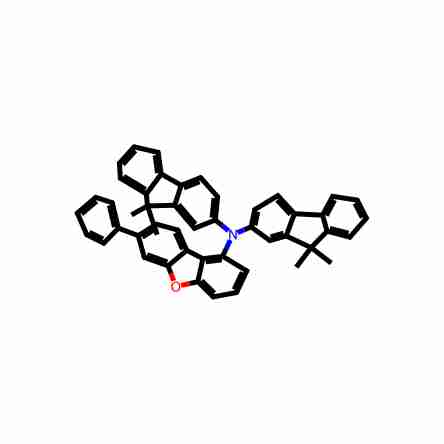 CC1(C)c2ccccc2-c2ccc(N(c3ccc4c(c3)C(C)(C)c3ccccc3-4)c3cccc4oc5cc(-c6ccccc6)ccc5c34)cc21